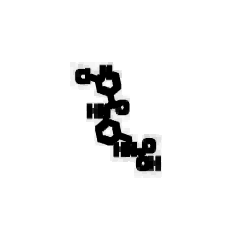 O=C(O)NCc1cccc(NC(=O)c2ccnc(Cl)c2)c1